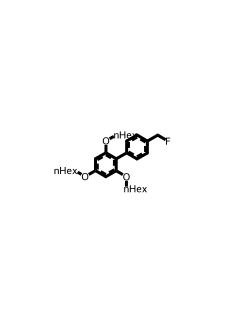 CCCCCCOc1cc(OCCCCCC)c(-c2ccc(CF)cc2)c(OCCCCCC)c1